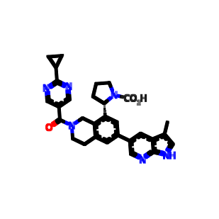 Cc1c[nH]c2ncc(-c3cc4c(c([C@@H]5CCCN5C(=O)O)c3)CN(C(=O)c3cnc(C5CC5)nc3)CC4)cc12